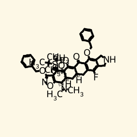 CN(C)[C@@H]1c2onc(OCc3ccccc3)c2C(=O)[C@@]2(O[Si](C)(C)C(C)(C)C)C(O)=C3C(=O)c4c(c(F)c5c(c4OCc4ccccc4)CNC5)C[C@H]3C[C@@H]12